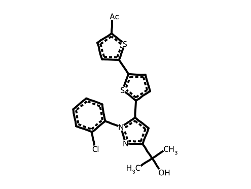 CC(=O)c1ccc(-c2ccc(-c3cc(C(C)(C)O)nn3-c3ccccc3Cl)s2)s1